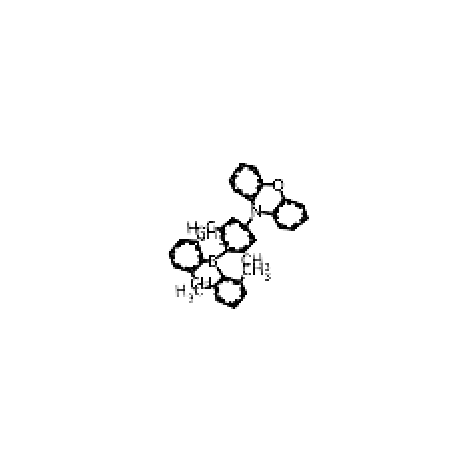 Cc1cccc(C)c1B(c1c(C)cccc1C)c1c(C)cc(N2c3ccccc3Oc3ccccc32)cc1C